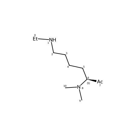 CCNCCCC[C@@H](C(C)=O)N(C)C